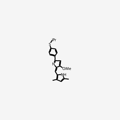 COC1=CC(c2ccc(SC(C)C)cc2)=N/C1=C/c1[nH]c(C)cc1C